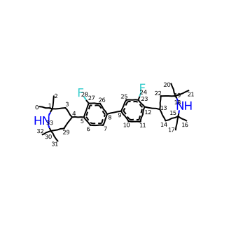 CC1(C)CC(c2ccc(-c3ccc(C4CC(C)(C)NC(C)(C)C4)c(F)c3)cc2F)CC(C)(C)N1